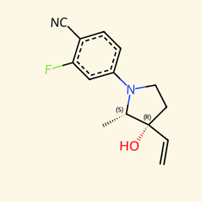 C=C[C@]1(O)CCN(c2ccc(C#N)c(F)c2)[C@H]1C